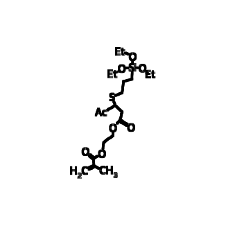 C=C(C)C(=O)OCCOC(=O)CC(SCCC[Si](OCC)(OCC)OCC)C(C)=O